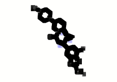 CCN1CCN(C2=CN3C(=O)\C=C(c4cc(F)c5nc(C)oc5c4)/C=C/C=C/3C=C2)CC1